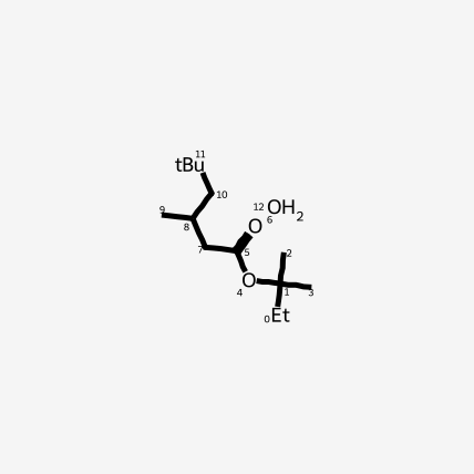 CCC(C)(C)OC(=O)CC(C)CC(C)(C)C.O